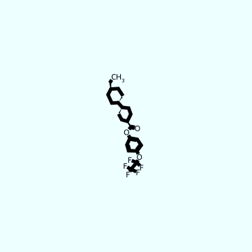 CC[C@H]1CC[C@H]([C@H]2CC[C@H](C(=O)Oc3ccc(OC(F)(F)C(F)(F)F)cc3)CC2)CC1